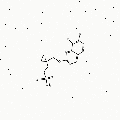 CS(=O)(=O)OCC1(COc2ncc3ccc(Br)c(F)c3n2)CC1